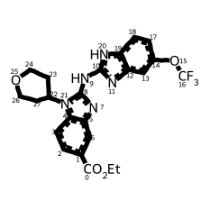 CCOC(=O)c1ccc2c(c1)nc(Nc1nc3cc(OC(F)(F)F)ccc3[nH]1)n2C1CCOCC1